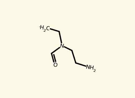 [CH2]CN(C=O)CCN